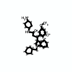 Cl.NC1CCC(NC(=O)CC(c2cccc(OC(F)(F)F)c2)c2cn(CC3CCCCC3)c3ccccc23)CC1